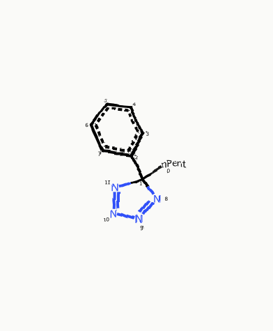 CCCCCC1(c2ccccc2)N=NN=N1